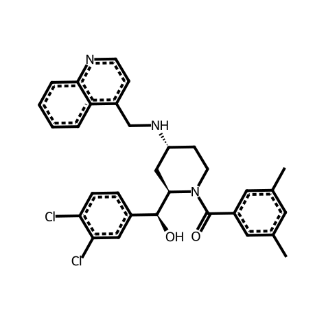 Cc1cc(C)cc(C(=O)N2CC[C@@H](NCc3ccnc4ccccc34)C[C@@H]2[C@@H](O)c2ccc(Cl)c(Cl)c2)c1